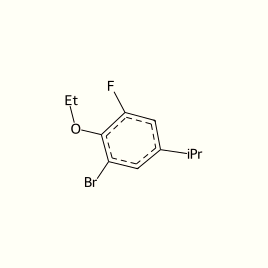 CCOc1c(F)cc(C(C)C)cc1Br